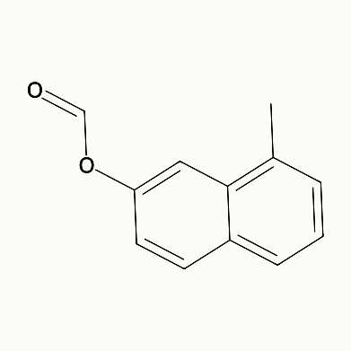 Cc1cccc2ccc(OC=O)cc12